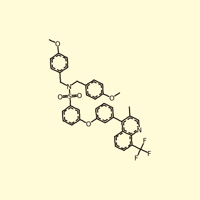 COc1ccc(CN(Cc2ccc(OC)cc2)S(=O)(=O)c2cccc(Oc3cccc(-c4c(C)cnc5c(C(F)(F)F)cccc45)c3)c2)cc1